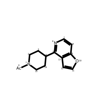 CC(=O)N1CCC(c2nccc3occc23)CC1